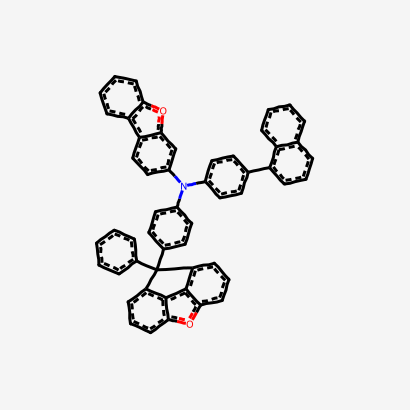 c1ccc(C2(c3ccc(N(c4ccc(-c5cccc6ccccc56)cc4)c4ccc5c(c4)oc4ccccc45)cc3)c3cccc4oc5cccc2c5c34)cc1